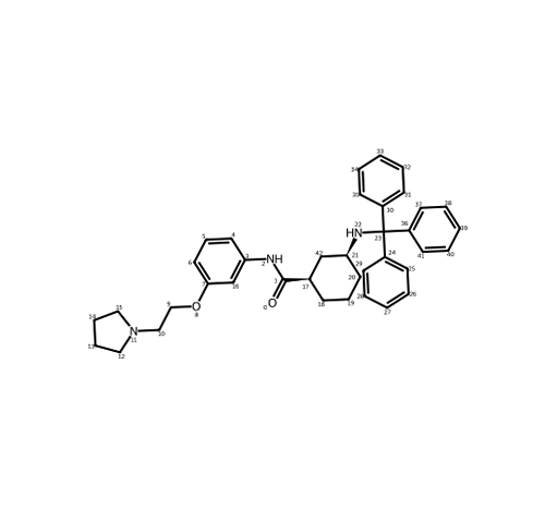 O=C(Nc1cccc(OCCN2CCCC2)c1)[C@@H]1CCC[C@H](NC(c2ccccc2)(c2ccccc2)c2ccccc2)C1